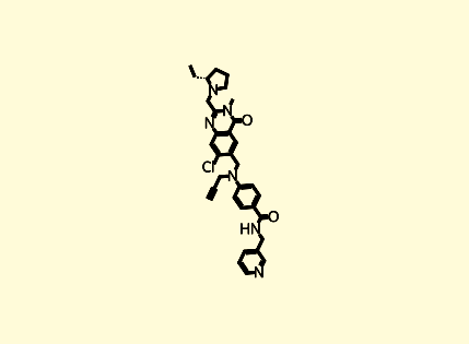 C#CCN(Cc1cc2c(=O)n(C)c(CN3CCC[C@H]3CC)nc2cc1Cl)c1ccc(C(=O)NCc2cccnc2)cc1